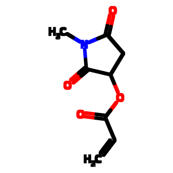 C=CC(=O)OC1CC(=O)N(C)C1=O